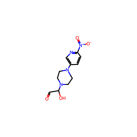 O=CC(O)N1CCN(c2ccc([N+](=O)[O-])nc2)CC1